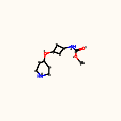 CC(C)(C)OC(=O)NC1CC(OC2CCNCC2)C1